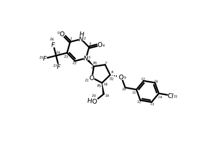 O=c1[nH]c(=O)n([C@H]2C[C@H](OCc3ccc(Cl)cc3)[C@@H](CO)O2)cc1C(F)(F)F